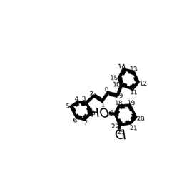 C(/C=C/c1ccccc1)=C\c1ccccc1.Oc1ccccc1Cl